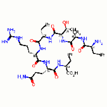 CC(C)C[C@H](NC(=O)[C@H](CCC(N)=O)NC(=O)[C@H](CCCNC(=N)N)NC(=O)[C@H](CC(C)C)NC(=O)[C@@H](NC(=O)[C@H](C)NC(=O)[C@@H](N)CC(C)C)[C@@H](C)O)C(=O)O